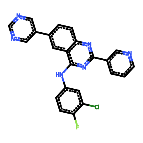 Fc1ccc(Nc2nc(-c3cccnc3)nc3ccc(-c4cncnc4)cc23)cc1Cl